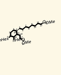 CCCCCCC1CC[C@@H](CCCCCCCCOOC)C(CCOOC)C1CCCCCC